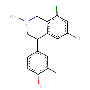 CN1Cc2c(Cl)cc(Cl)cc2C(c2ccc(O)c(C(=O)O)c2)C1